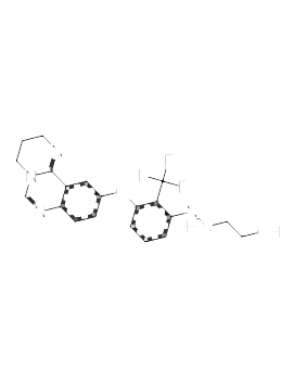 CCCSNc1cccc(Oc2ccc3c(c2)C2=NCCCN2C=N3)c1C(F)(F)F